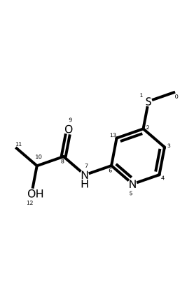 CSc1ccnc(NC(=O)C(C)O)c1